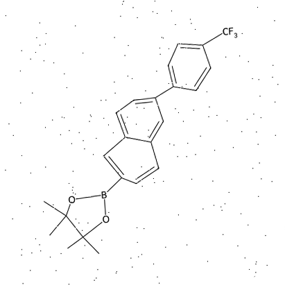 CC1(C)OB(c2ccc3cc(-c4ccc(C(F)(F)F)cc4)ccc3c2)OC1(C)C